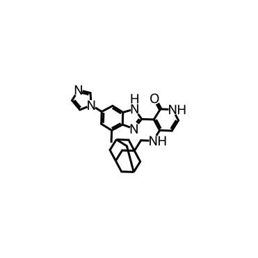 Cc1cc(-n2ccnc2)cc2[nH]c(-c3c(NCC45CC6CC(CC(C6)C4)C5)cc[nH]c3=O)nc12